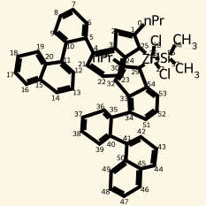 CCCC1=Cc2c(-c3ccccc3-c3cccc4ccccc34)cccc2[CH]1[Zr]([Cl])([Cl])([CH]1C(CCC)=Cc2c(-c3ccccc3-c3cccc4ccccc34)cccc21)[SiH](C)C